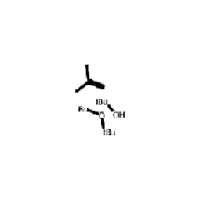 C=C(C)C.CCC(C)O.CCC(C)OC(C)(C)C